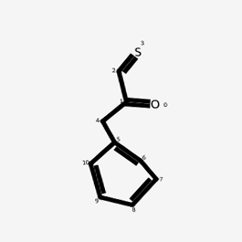 O=C(C=S)Cc1ccccc1